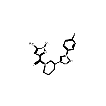 Cc1cc(C(=O)N2CCC[C@H](C3=CN(c4ccc(F)cc4)NO3)C2)nn1C